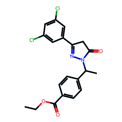 CCOC(=O)c1ccc(C(C)N2N=C(c3cc(Cl)cc(Cl)c3)CC2=O)cc1